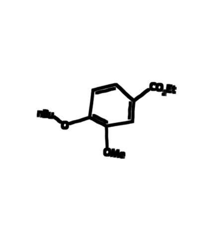 CCCCOc1ccc(C(=O)OCC)cc1OC